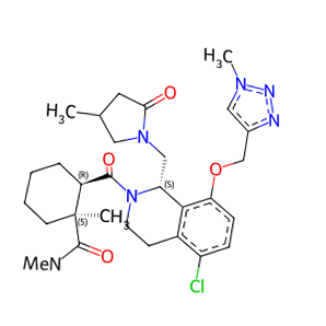 CNC(=O)[C@@]1(C)CCCC[C@H]1C(=O)N1CCc2c(Cl)ccc(OCc3cn(C)nn3)c2[C@H]1CN1CC(C)CC1=O